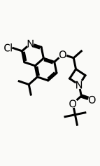 CC(C)c1ccc(OC(C)C2CN(C(=O)OC(C)(C)C)C2)c2cnc(Cl)cc12